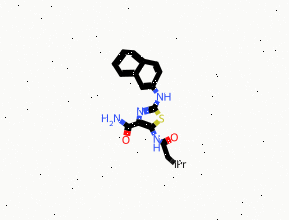 CC(C)CC(=O)Nc1sc(Nc2ccc3ccccc3c2)nc1C(N)=O